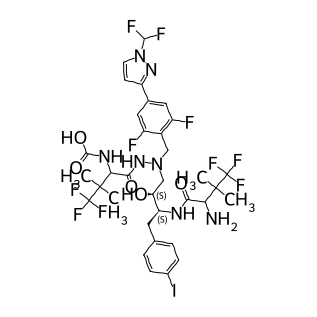 CC(C)(C(N)C(=O)N[C@@H](Cc1ccc(I)cc1)[C@@H](O)CN(Cc1c(F)cc(-c2ccn(C(F)F)n2)cc1F)NC(=O)C(NC(=O)O)C(C)(C)C(F)(F)F)C(F)(F)F